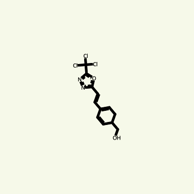 OCC1C=CC(C=Cc2nnc(C(Cl)(Cl)Cl)o2)=CC1